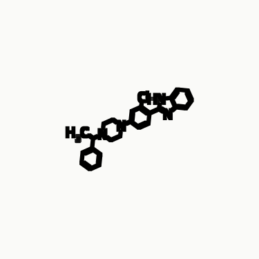 CC(c1ccccc1)N1CCN(c2ccc(-c3nc4ccccc4[nH]3)c(Cl)c2)CC1